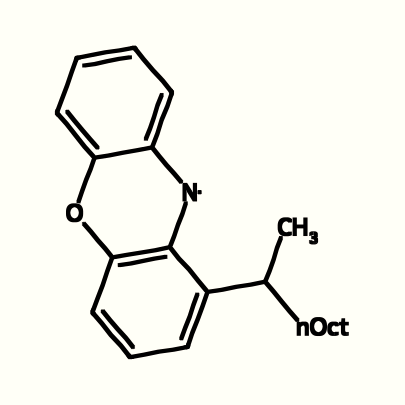 CCCCCCCCC(C)c1cccc2c1[N]c1ccccc1O2